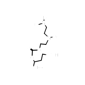 CCCCCCC(CCC(=O)O)OC(=O)OCCN(CCN(CC)CC)C(C)C